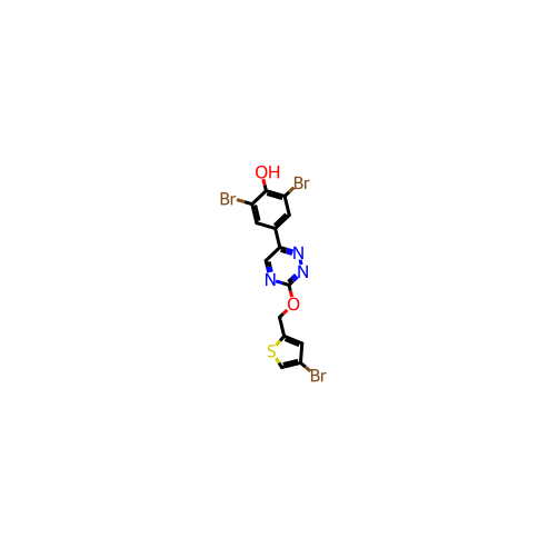 Oc1c(Br)cc(-c2cnc(OCc3cc(Br)cs3)nn2)cc1Br